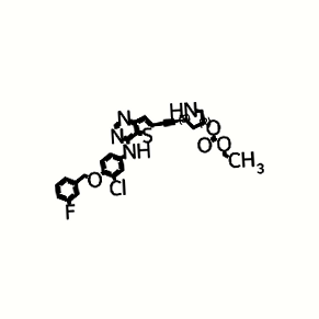 CCOC(=O)O[C@H]1CN[C@H](C#Cc2cc3ncnc(Nc4ccc(OCc5cccc(F)c5)c(Cl)c4)c3s2)C1